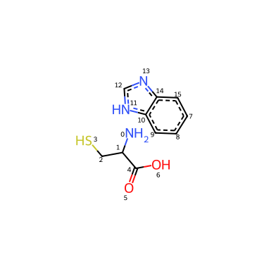 NC(CS)C(=O)O.c1ccc2[nH]cnc2c1